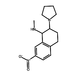 CNC1c2cc([N+](=O)[O-])ccc2CCC1N1CCCC1